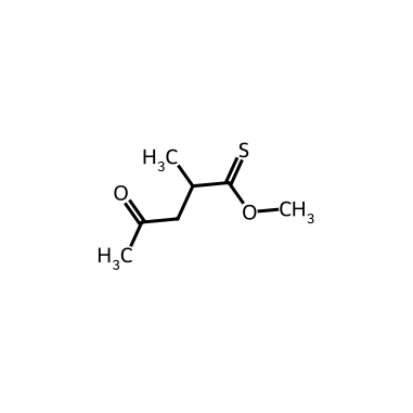 COC(=S)C(C)CC(C)=O